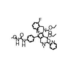 CCOC(=O)c1c(N(Cc2c(F)cccc2F)C(=O)OCC)sc(-c2ccc(NC(=O)NOC)cc2)c1CN(C)Cc1ccccn1